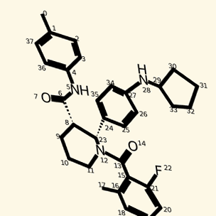 Cc1ccc(NC(=O)[C@H]2CCCN(C(=O)c3c(C)cccc3F)[C@H]2c2ccc(NC3CCCC3)cc2)cc1